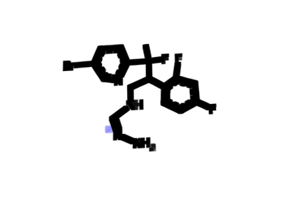 CC(F)(c1ccc(Br)cn1)C(CN/C=N\N)c1ccc(F)cc1F